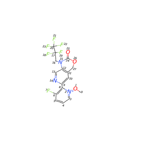 CO[n+]1cccc(F)c1-c1cc2c(cn1)N(CC(F)(F)C(F)(F)F)C(=O)OC2